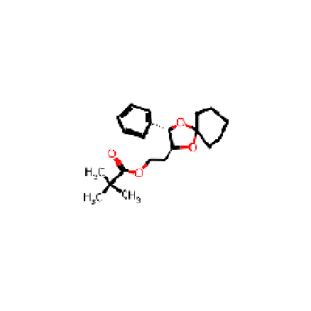 CC(C)(C)C(=O)OCC[C@@H]1OC2(CCCCC2)O[C@H]1c1ccccc1